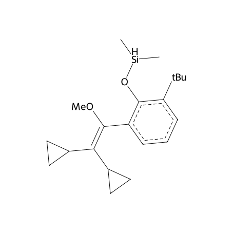 COC(=C(C1CC1)C1CC1)c1cccc(C(C)(C)C)c1O[SiH](C)C